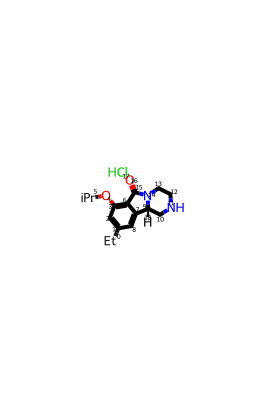 CCc1cc(OC(C)C)c2c(c1)[C@H]1CNCCN1C2=O.Cl